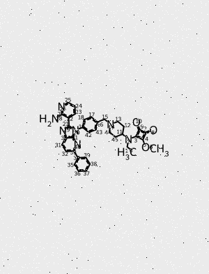 CCN(c1c(OC)c(=O)c1=O)C1CCN(Cc2ccc(-n3c(-c4cccnc4N)nc4ccc(-c5ccccc5)nc43)cc2)CC1